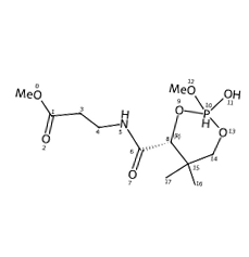 COC(=O)CCNC(=O)[C@@H]1O[PH](O)(OC)OCC1(C)C